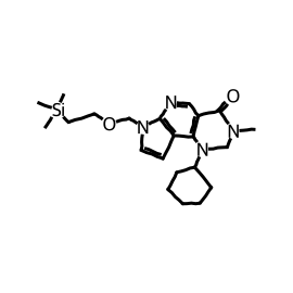 CN1CN(C2CCCCC2)c2c(cnc3c2ccn3COCC[Si](C)(C)C)C1=O